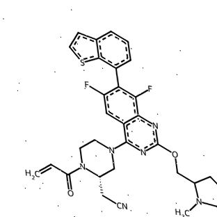 C=CC(=O)N1CCN(c2nc(OCC3CCCN3C)nc3c(F)c(-c4cccc5ccsc45)c(F)cc23)C[C@@H]1CC#N